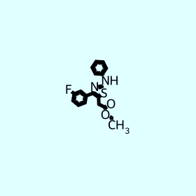 CCOC(=O)Cc1sc(Nc2ccccc2)nc1-c1cccc(F)c1